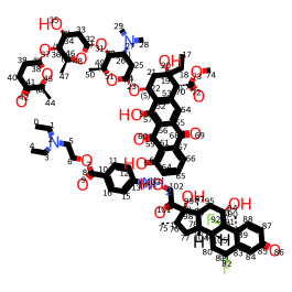 CCN(CC)CCOC(=O)c1ccc(N)cc1.CC[C@@]1(O)C[C@H](O[C@H]2C[C@H](N(C)C)[C@H](O[C@H]3C[C@H](O)[C@H](O[C@H]4CCC(=O)[C@H](C)O4)[C@H](C)O3)[C@H](C)O2)c2c(cc3c(c2O)C(=O)c2c(O)cccc2C3=O)[C@H]1C(=O)OC.C[C@H]1C[C@H]2[C@@H]3C[C@H](F)C4=CC(=O)C=C[C@]4(C)[C@@]3(F)[C@@H](O)C[C@]2(C)[C@@]1(O)C(=O)CO